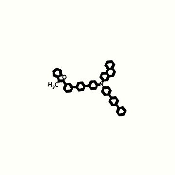 Cc1c(-c2cccc(-c3ccc(-c4ccc(N(c5ccc(-c6ccc(-c7ccccc7)cc6)cc5)c5ccc6c(ccc7ccccc76)c5)cc4)cc3)c2)oc2ccccc12